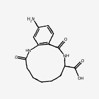 Nc1ccc2c(c1)NC(=O)CCCCCC(C(=O)O)NC2=O